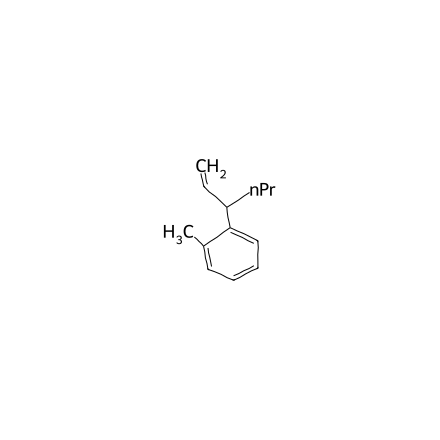 C=CC(CCC)c1ccccc1C